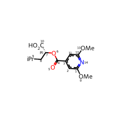 COc1cc(C(=O)O[C@H](CC(C)C)C(=O)O)cc(OC)n1